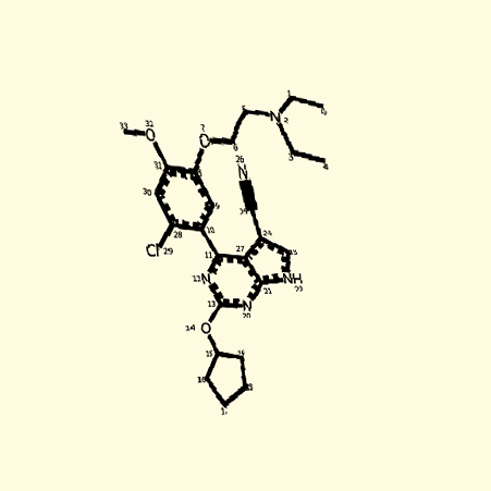 CCN(CC)CCOc1cc(-c2nc(OC3CCCC3)nc3[nH]cc(C#N)c23)c(Cl)cc1OC